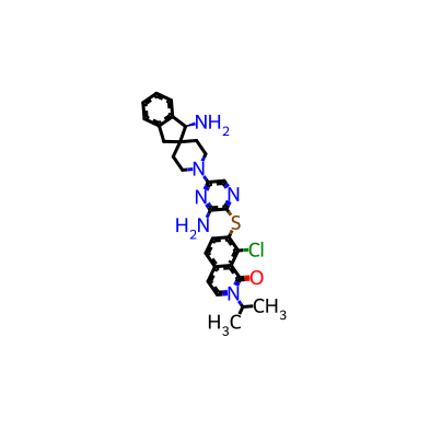 CC(C)n1ccc2ccc(Sc3ncc(N4CCC5(CC4)Cc4ccccc4[C@H]5N)nc3N)c(Cl)c2c1=O